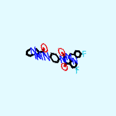 O=C(NC1CCC(n2c(=O)c3cc(F)cnc3n(Cc3ccc(F)cc3)c2=O)CC1)c1cn2ccccc2n1